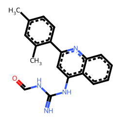 Cc1ccc(-c2cc(NC(=N)NC=O)c3ccccc3n2)c(C)c1